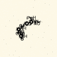 C=C/N=C(\N=O)Nc1cc(C)c(C2CCN(CCC(=O)Nc3cccc4c3C(=O)N(C3CCC(=O)NC3=O)C4=O)CC2)cc1OC(C)C